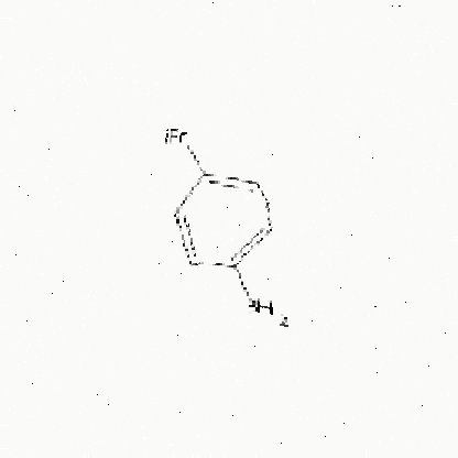 Bc1ccc(C(C)C)cc1